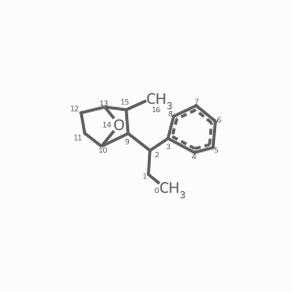 CCC(c1ccccc1)C1C2CCC(O2)C1C